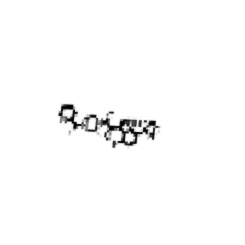 C[C@@H]1CN(C(=O)c2ccccn2)CCN1C(=O)C(=O)c1c[nH]c2c(-c3ncon3)ccc(F)c12